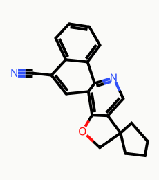 N#Cc1cc2c3c(cnc2c2ccccc12)C1(CCCC1)CO3